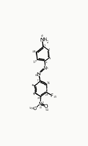 Nc1ccc(/N=N/c2ccc([N+](=O)[O-])c(F)c2)cc1